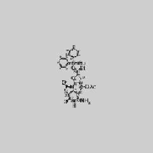 CC[C@H](O[Si](c1ccccc1)(c1ccccc1)C(C)(C)C)[C@@H]1C[C@@H]([C@H](C)OC(C)=O)[C@H](n2c(=O)sc3c(=O)[nH]c(N)nc32)O1